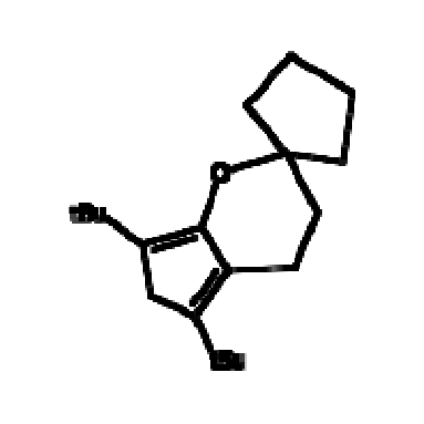 CC(C)(C)C1=C2CCC3(CCCC3)OC2=C(C(C)(C)C)C1